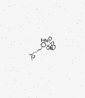 C=C(CC/C=C/c1ccc2c(c1)C(O)(c1ccccc1)C(OC)C(=O)N2)OCC